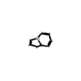 C1=CC2CC=CN2C=C1